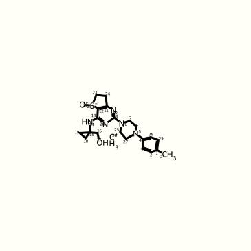 Cc1ccc(N2CCN(c3nc4c(c(NC5(CO)CC5)n3)[S+]([O-])CC4)[C@@H](C)C2)cc1